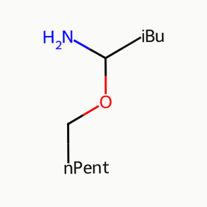 CCCCCCOC(N)C(C)CC